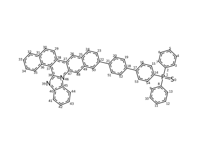 S=P(c1ccccc1)(c1ccccc1)c1ccc(-c2ccc(-c3ccc4cc5c6ccc7ccccc7c6c6nc7ccccc7n6c5cc4c3)cc2)cc1